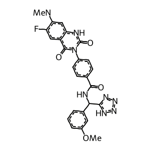 CNc1cc2[nH]c(=O)n(-c3ccc(C(=O)NC(c4cccc(OC)c4)c4nnn[nH]4)cc3)c(=O)c2cc1F